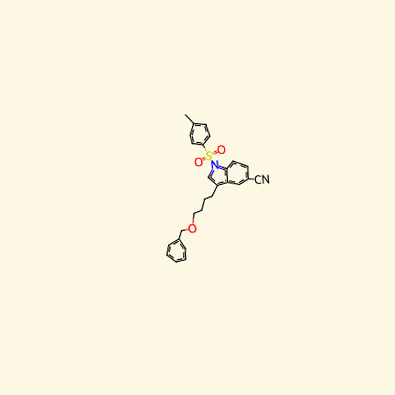 Cc1ccc(S(=O)(=O)n2cc(CCCCOCc3ccccc3)c3cc(C#N)ccc32)cc1